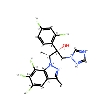 Cc1nn([C@H](C)[C@](O)(Cn2cncn2)c2ccc(F)cc2F)c2c(F)c(F)c(F)cc12